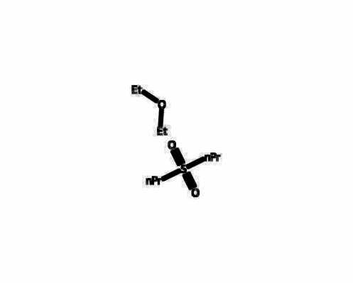 CCCS(=O)(=O)CCC.CCOCC